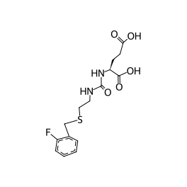 O=C(O)CC[C@H](NC(=O)NCCSCc1ccccc1F)C(=O)O